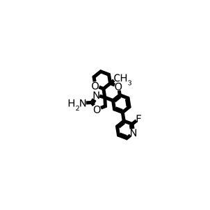 CC12CCCOC1C1(COC(N)=N1)c1cc(-c3cccnc3F)ccc1O2